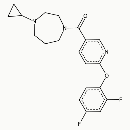 O=C(c1ccc(Oc2ccc(F)cc2F)nc1)N1CCCN(C2CC2)CC1